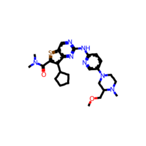 COCC1CN(c2ccc(Nc3ncc4sc(C(=O)N(C)C)c(C5CCCC5)c4n3)nc2)CCN1C